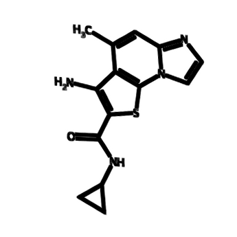 Cc1cc2nccn2c2sc(C(=O)NC3CC3)c(N)c12